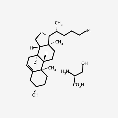 CC(C)CCC[C@@H](C)[C@H]1CC[C@H]2[C@@H]3CC=C4C[C@@H](O)CC[C@]4(C)[C@H]3CC[C@]12C.N[C@@H](CO)C(=O)O